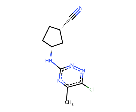 Cc1nc(N[C@@H]2CC[C@H](C#N)C2)nnc1Cl